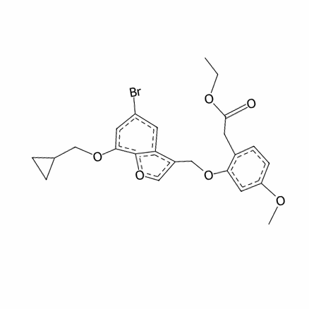 CCOC(=O)Cc1ccc(OC)cc1OCc1coc2c(OCC3CC3)cc(Br)cc12